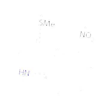 CSc1c[nH]c2cccc([N+](=O)[O-])c12